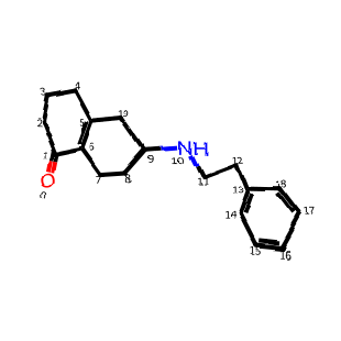 O=C1CCCC2=C1CCC(NCCc1ccccc1)C2